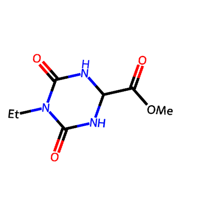 CCN1C(=O)NC(C(=O)OC)NC1=O